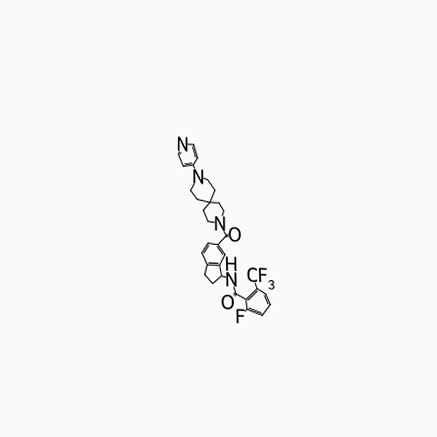 O=C(NC1CCc2ccc(C(=O)N3CCC4(CC3)CCN(c3ccncc3)CC4)cc21)c1c(F)cccc1C(F)(F)F